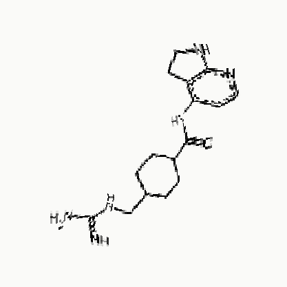 N=C(N)NCC1CCC(C(=O)Nc2ccnc3c2CCN3)CC1